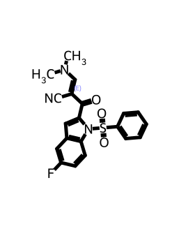 CN(C)/C=C(\C#N)C(=O)c1cc2cc(F)ccc2n1S(=O)(=O)c1ccccc1